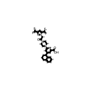 O=C(O)c1cc(C2CCCc3ccccc32)cc(N2CCN(C(=O)Cn3nc(C(F)F)cc3C(F)F)CC2)n1